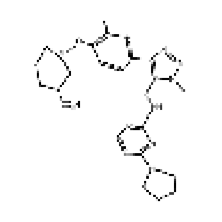 Cc1nc(-c2nnn(C)c2CNc2nccc(N3CCCC3)n2)ccc1O[C@H]1CCCC(C(=O)O)C1